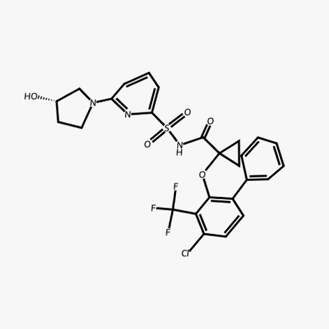 O=C(NS(=O)(=O)c1cccc(N2CC[C@H](O)C2)n1)C1(Oc2c(-c3ccccc3)ccc(Cl)c2C(F)(F)F)CC1